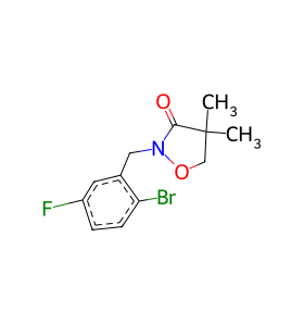 CC1(C)CON(Cc2cc(F)ccc2Br)C1=O